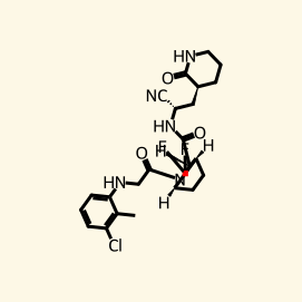 Cc1c(Cl)cccc1NCC(=O)N1[C@H]2CC[C@@H]([C@H]1C(=O)N[C@H](C#N)C[C@@H]1CCCNC1=O)C(F)(F)C2